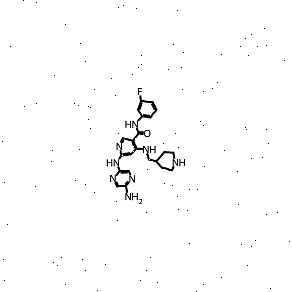 Nc1cnc(Nc2cc(NCC3CCNCC3)c(C(=O)Nc3cccc(F)c3)cn2)cn1